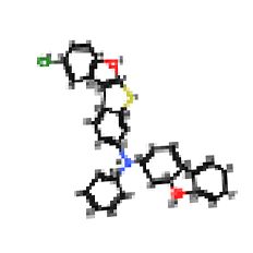 Clc1ccc2oc3sc4cc(N(c5ccccc5)c5ccc6c(c5)oc5ccccc56)ccc4c3c2c1